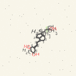 C=C1[C@H](O)CC(=C/C=C2\CCC[C@@]3(C)C2CCC3[C@@H](C)CCC(F)(F)C(C)(C)O)C[C@H]1O